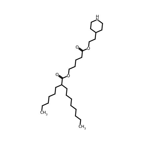 CCCCCCCCC(CCCCCC)C(=O)OCCCCC(=O)OCCC1CCNCC1